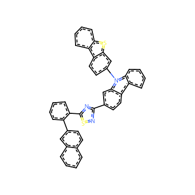 c1ccc(-c2nc(-c3ccc4c5ccccc5n(-c5ccc6c(c5)sc5ccccc56)c4c3)ns2)c(-c2ccc3ccccc3c2)c1